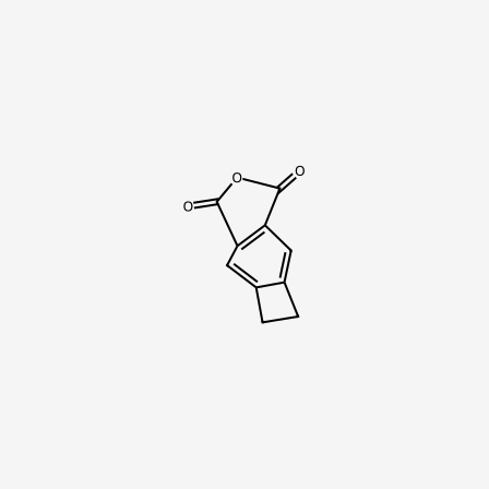 O=C1OC(=O)c2cc3c(cc21)CC3